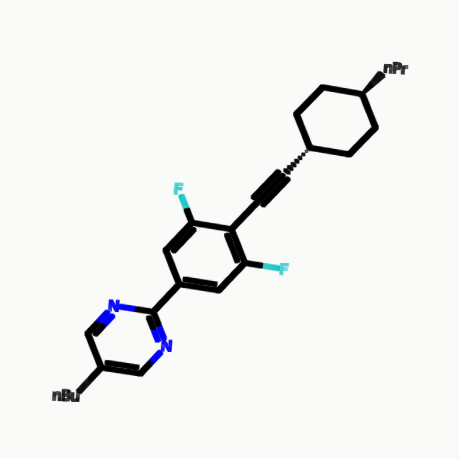 CCCCc1cnc(-c2cc(F)c(C#C[C@H]3CC[C@H](CCC)CC3)c(F)c2)nc1